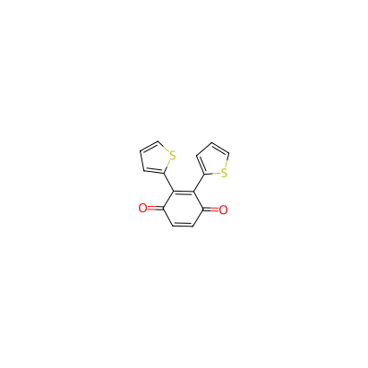 O=C1C=CC(=O)C(c2cccs2)=C1c1cccs1